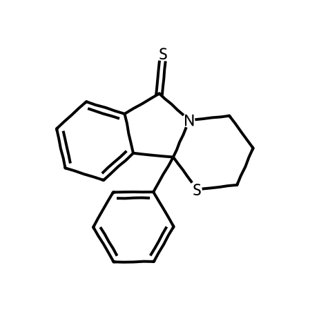 S=C1c2ccccc2C2(c3ccccc3)SCCCN12